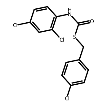 O=C(Nc1ccc(Cl)cc1Cl)SCc1ccc(Cl)cc1